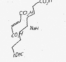 CCCCCCCCCCCCCCCCCC(=O)O.O=C(O)/C=C/C(=O)O.[NaH]